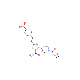 COC(=O)C1CCN(CCC2=NN(C3CCN(C(=O)OC(C)(C)C)CC3)C(C(N)=O)S2)CC1